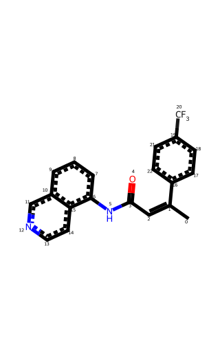 CC(=CC(=O)Nc1cccc2cnccc12)c1ccc(C(F)(F)F)cc1